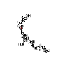 CCc1c2c(nc3ccc(O)cc13)-c1cc3c(c(=O)n1C2)COC(=O)C3(CC)OC(=O)OCc1ccc(NC(=O)C(CCCCN)NC(=O)COCC(=O)NC(C)(C)COC(C)(C)Cn2cc(CNC(=O)C3CCC(CN4C(=O)CCC4=O)CC3)nn2)cc1